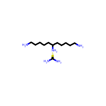 NC(N)=S.NCCCCCC(N)CCCCCN